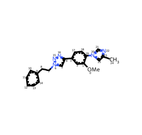 COc1cc(-c2cn(CCc3ccccc3)nn2)ccc1-n1cnc(C)c1